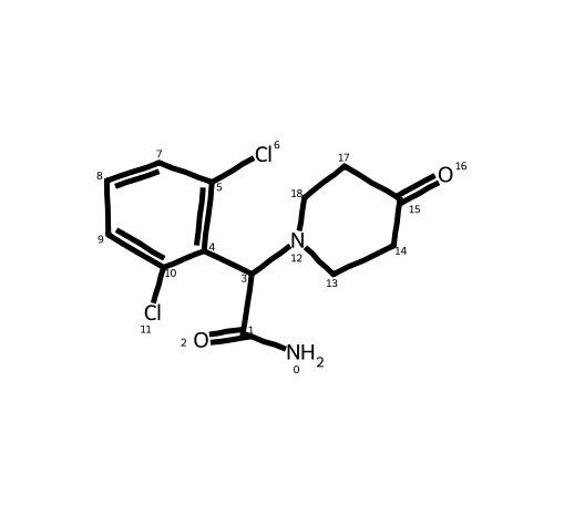 NC(=O)C(c1c(Cl)cccc1Cl)N1CCC(=O)CC1